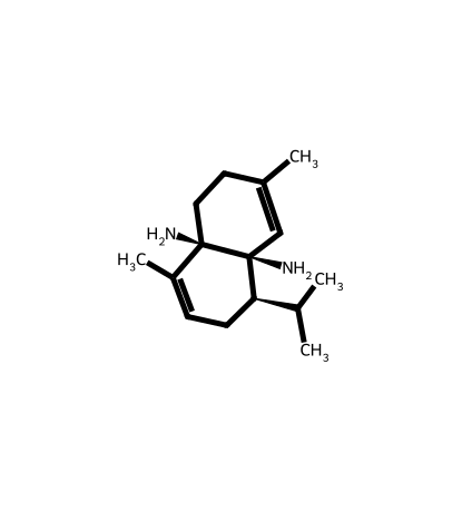 CC1=C[C@]2(N)[C@@H](C(C)C)CC=C(C)[C@]2(N)CC1